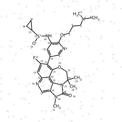 CN(C)CCCOc1ncc(-c2c(F)cc3ncc4c5c3c2OCC(C)(C)n5c(=O)n4C)cc1N[S+]([O-])C1CC1